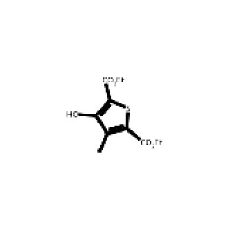 CCOC(=O)c1sc(C(=O)OCC)c(O)c1C